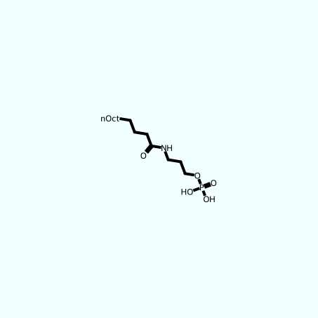 CCCCCCCCCCCC(=O)NCCCOP(=O)(O)O